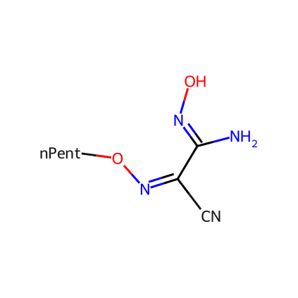 CCCCCON=C(C#N)C(N)=NO